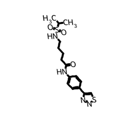 CC(C)S(=O)(=O)NCCCCC(=O)Nc1ccc(-c2csnn2)cc1